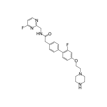 O=C(Cc1ccc(-c2ccc(OCCN3CCNCC3)cc2F)cc1)NCc1nccc(F)n1